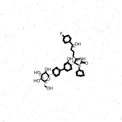 O=C1N[C@H](CCC[C@@H](O)c2ccc(F)cc2)[C@@H](c2ccc(-c3ccc([C@@H]4O[C@H](CO)[C@@H](O)[C@H](O)[C@H]4O)cc3)cc2O)N1c1ccccc1